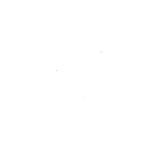 NCCCCOc1c2ccccc2cc2ccc(Cl)cc12